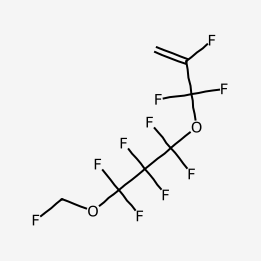 C=C(F)C(F)(F)OC(F)(F)C(F)(F)C(F)(F)OCF